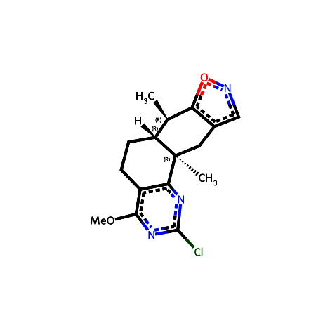 COc1nc(Cl)nc2c1CC[C@@H]1[C@@H](C)c3oncc3C[C@@]21C